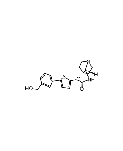 O=C(N[C@H]1CN2CCC1CC2)Oc1ccc(-c2cccc(CO)c2)s1